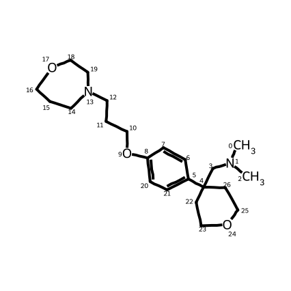 CN(C)CC1(c2ccc(OCCCN3CCCOCC3)cc2)CCOCC1